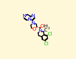 C[C@H]1c2c(Cl)cc(Cl)cc2CCN1C(=O)[C@H]1CN(c2cnc3cnccn23)CCO1